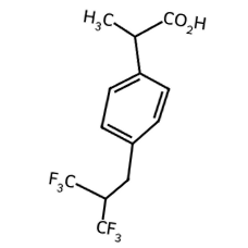 CC(C(=O)O)c1ccc(CC(C(F)(F)F)C(F)(F)F)cc1